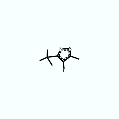 Cc1snc(C(C)(C)C)c1F